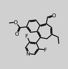 CCC1=CC(C=O)=c2ccc(C(=O)OC)cc2=C(c2c(F)cncc2F)C1